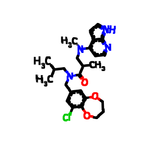 CC(C)CN(Cc1cc(Cl)c2c(c1)OCCCO2)C(=O)C(C)CN(C)c1ccnc2[nH]ccc12